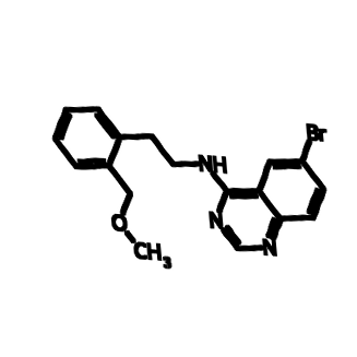 COCc1ccccc1CCNc1ncnc2ccc(Br)cc12